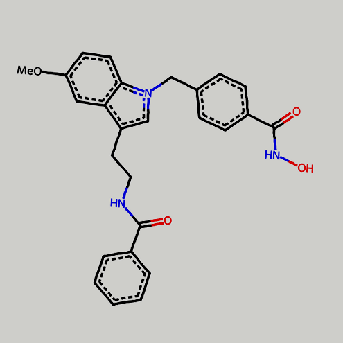 COc1ccc2c(c1)c(CCNC(=O)c1ccccc1)cn2Cc1ccc(C(=O)NO)cc1